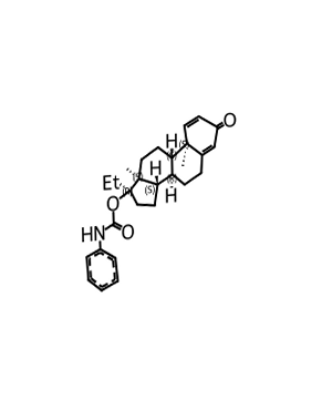 CC[C@@]1(OC(=O)Nc2ccccc2)CC[C@H]2[C@@H]3CCC4=CC(=O)C=C[C@]4(C)[C@H]3CC[C@@]21C